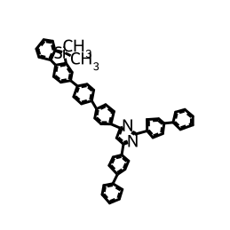 C[Si]1(C)c2ccccc2-c2ccc(-c3ccc(-c4ccc(-c5cc(-c6ccc(-c7ccccc7)cc6)nc(-c6ccc(-c7ccccc7)cc6)n5)cc4)cc3)cc21